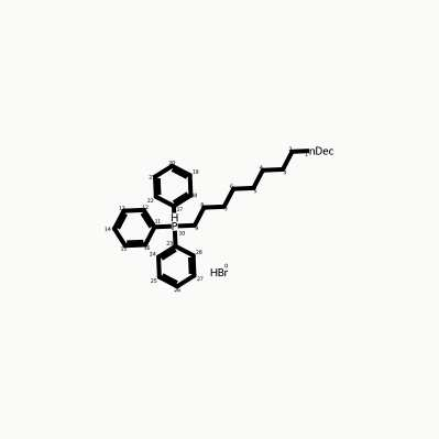 Br.CCCCCCCCCCCCCCCCCC[PH](c1ccccc1)(c1ccccc1)c1ccccc1